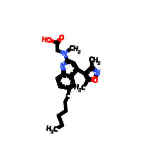 CCCCCCc1ccc2nc(N(C)CC(=O)O)cc(-c3c(C)noc3C)c2c1